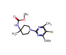 COc1nc(N2CCC(C)(NC(=O)OC(C)(C)C)CC2)nc(C)c1Br